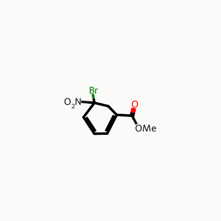 COC(=O)C1=CC=CC(Br)([N+](=O)[O-])C1